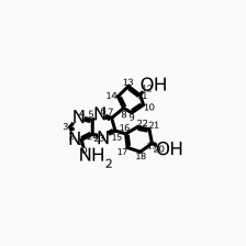 Nc1ncnc2nc(-c3ccc(O)cc3)c(C3=CCC(O)C=C3)nc12